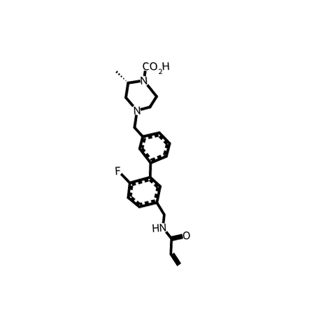 C=CC(=O)NCc1ccc(F)c(-c2cccc(CN3CCN(C(=O)O)[C@@H](C)C3)c2)c1